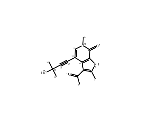 CC(=O)c1c(C)[nH]c2c(=O)n(C)cc(C#CC(C)(C)O)c12